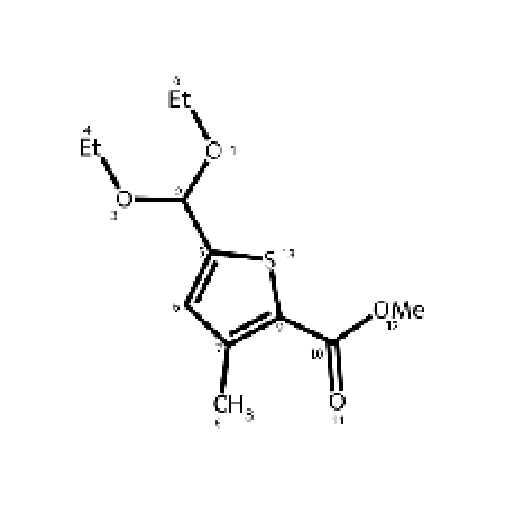 CCOC(OCC)c1cc(C)c(C(=O)OC)s1